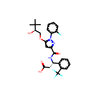 CC(C)(C)[C@H](O)COc1cc(C(=O)N[C@@H](CC(=O)O)c2ccccc2C(F)(F)F)nn1-c1ccccc1F